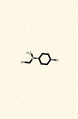 CC[C@H]1CC[C@@H](N(C)CC(C)C)CC1